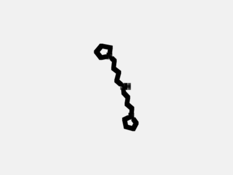 C(CCN1CCCC1)CNCCCCN1CCCC1